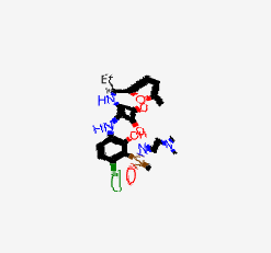 CC[C@@H](Nc1c(Nc2ccc(Cl)c(S(C)(=O)=NCCN(C)C)c2O)c(=O)c1=O)c1ccc(C)o1